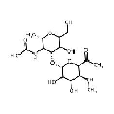 CP[C@H]1C(O)C(O)[C@H](O[C@@H]2C(NC(C)=O)[C@H](C)OC(CO)[C@H]2O)O[C@H]1C(C)=O